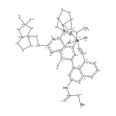 CC1Oc2nc(-c3cc(NC(=O)OC(C)(C)C)cc4cccc(C#C[Si](C(C)C)(C(C)C)C(C)C)c34)c(F)c3nc(OCC45CCCN4CC(F)(F)C5)nc(c23)N2CC3CCC(C12)N3C(=O)O